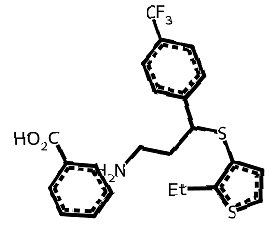 CCc1sccc1SC(CCN)c1ccc(C(F)(F)F)cc1.O=C(O)c1ccccc1